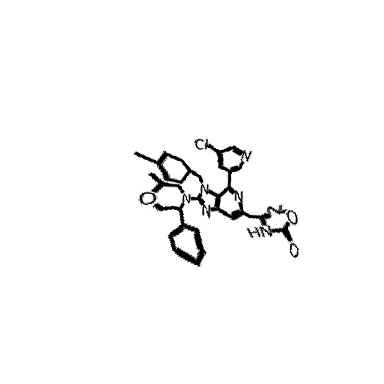 CC1CCC(Cn2c(N3CC(C)OCC3c3ccccc3)nc3cc(-c4noc(=O)[nH]4)nc(-c4cncc(Cl)c4)c32)CC1